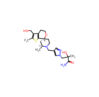 C[C@H]1C[C@@]2(CCN1Cc1cnn(CC(C)(O)C(N)=O)c1)OCCc1c2sc(C(F)(F)F)c1CO